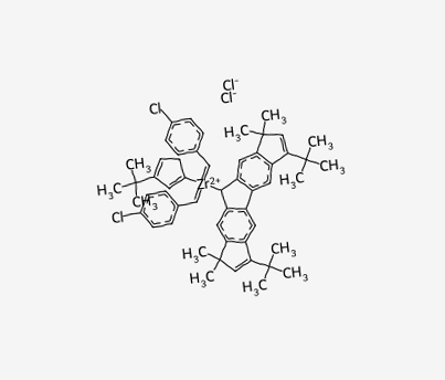 CC(C)(C)C1=CC[C]([Zr+2](=[CH]c2ccc(Cl)cc2)(=[CH]c2ccc(Cl)cc2)[CH]2c3cc4c(cc3-c3cc5c(cc32)C(C)(C)C=C5C(C)(C)C)C(C(C)(C)C)=CC4(C)C)=C1.[Cl-].[Cl-]